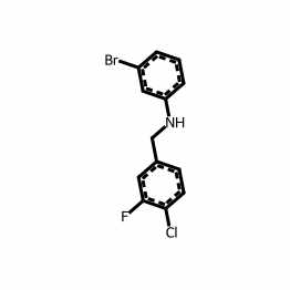 Fc1cc(CNc2cccc(Br)c2)ccc1Cl